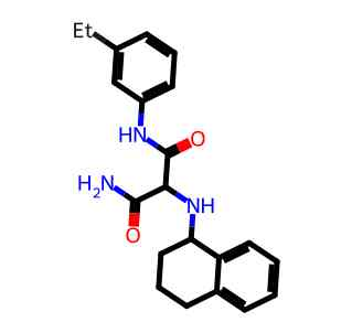 CCc1cccc(NC(=O)C(NC2CCCc3ccccc32)C(N)=O)c1